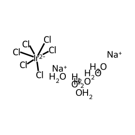 O.O.O.O.O.O.[Cl][Ir-2]([Cl])([Cl])([Cl])([Cl])[Cl].[Na+].[Na+]